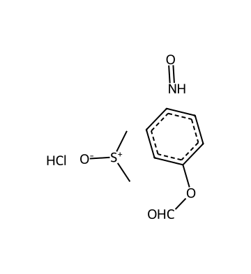 C[S+](C)[O-].Cl.N=O.O=COc1ccccc1